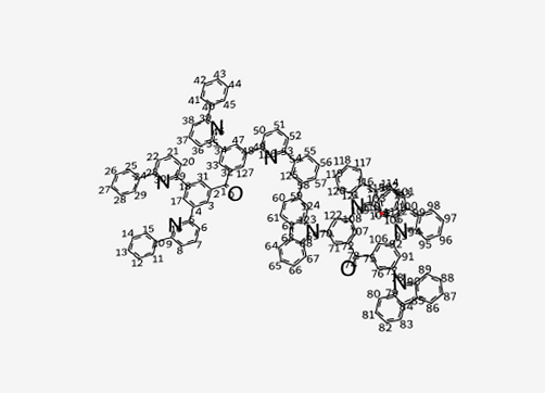 O=C(c1cc(-c2cccc(-c3ccccc3)n2)cc(-c2cccc(-c3ccccc3)n2)c1)c1cc(-c2cccc(-c3ccccc3)n2)cc(-c2cccc(-c3cccc(-c4ccc5c6ccccc6n(-c6cc(C(=O)c7cc(-n8c9ccccc9c9ccccc98)cc(-n8c9ccccc9c9ccccc98)c7)cc(-n7c8ccccc8c8ccccc87)c6)c5c4)c3)n2)c1